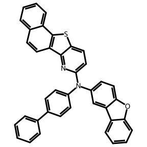 c1ccc(-c2ccc(N(c3ccc4oc5ccccc5c4c3)c3ccc4sc5c6ccccc6ccc5c4n3)cc2)cc1